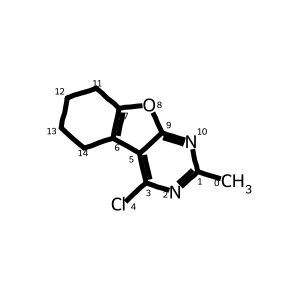 Cc1nc(Cl)c2c3c(oc2n1)CCCC3